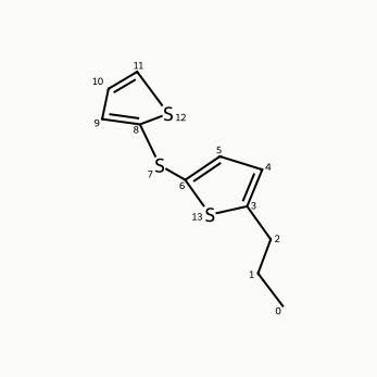 CCCc1ccc(Sc2cccs2)s1